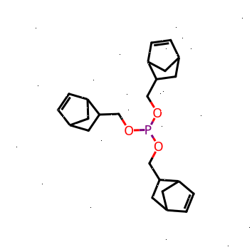 C1=CC2CC1CC2COP(OCC1CC2C=CC1C2)OCC1CC2C=CC1C2